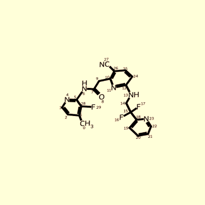 Cc1ccnc(NC(=O)Cc2nc(NCC(F)(F)c3ccccn3)ccc2C#N)c1F